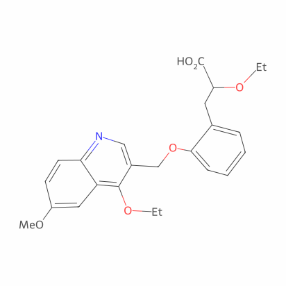 CCOc1c(COc2ccccc2CC(OCC)C(=O)O)cnc2ccc(OC)cc12